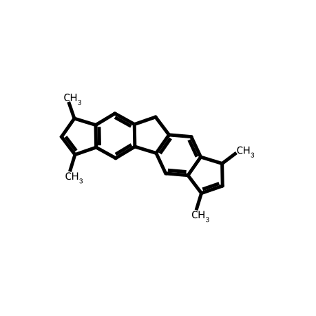 CC1=CC(C)c2cc3c(cc21)-c1cc2c(cc1C3)C(C)C=C2C